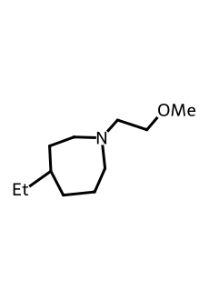 CCC1CCCN(CCOC)CC1